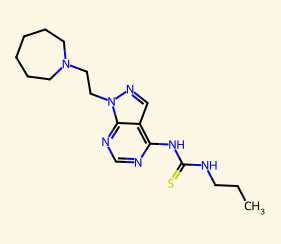 CCCNC(=S)Nc1ncnc2c1cnn2CCN1CCCCCC1